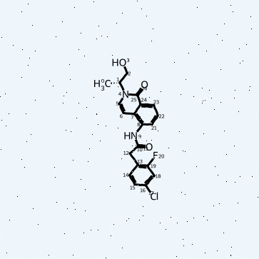 C[C@H](CO)n1ccc2c(NC(=O)Cc3ccc(Cl)cc3F)cccc2c1=O